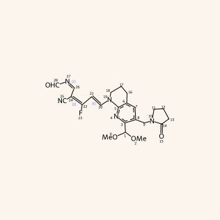 COC(OC)c1nc2c(cc1CN1CCCC1=O)CCCN2/C=C/C(F)=C(C#N)\C=N/C=O